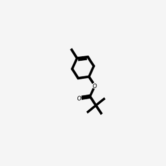 CC1=CCC(OC(=O)C(C)(C)C)CC1